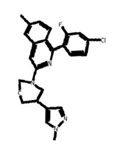 Cc1ccc2c(-c3ccc(Cl)cc3F)nc(N3CCCC(c4cnn(C)c4)C3)cc2c1